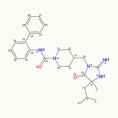 CC(C)CC1(C)NC(=N)N(CC2CCN(C(=O)Nc3ccccc3-c3ccccc3)CC2)C1=O